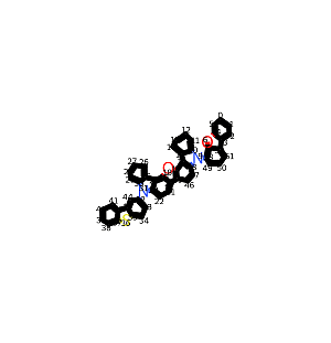 c1ccc2c(c1)oc1c(-n3c4ccccc4c4c5oc6c(ccc7c6c6ccccc6n7-c6ccc7sc8ccccc8c7c6)c5ccc43)cccc12